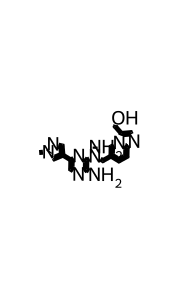 Cn1cc(-c2cnc(N)c(N(N)Cc3ccc4ncc(CO)n4c3)n2)cn1